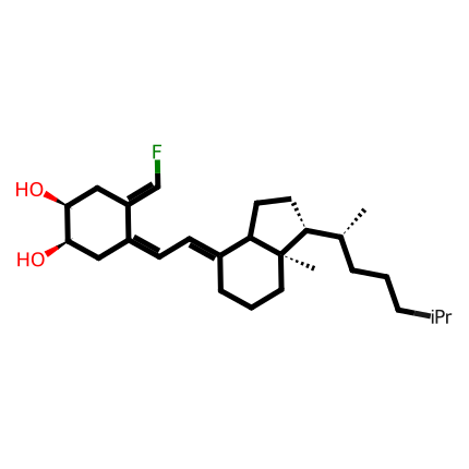 CC(C)CCC[C@@H](C)[C@H]1CCC2C(=C/C=C3/C[C@@H](O)[C@@H](O)C/C3=C\F)CCC[C@@]21C